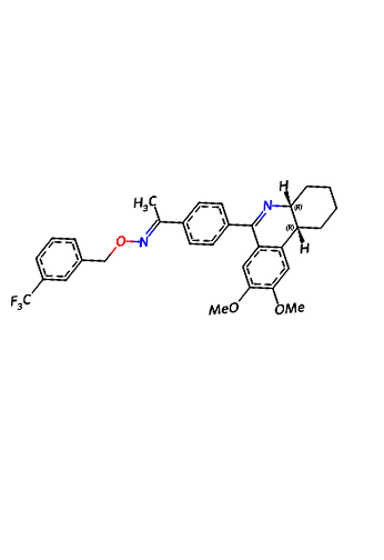 COc1cc2c(cc1OC)[C@H]1CCCC[C@H]1N=C2c1ccc(C(C)=NOCc2cccc(C(F)(F)F)c2)cc1